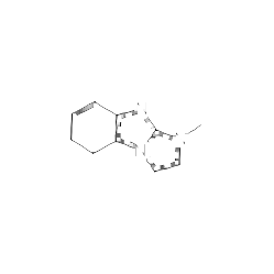 Cn1ccn2c3c(nc12)C=CCC3